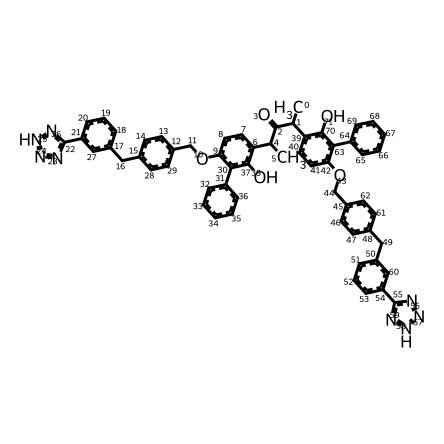 CC(C(=O)C(C)c1ccc(OCc2ccc(Cc3cccc(-c4nn[nH]n4)c3)cc2)c(-c2ccccc2)c1O)c1ccc(OCc2ccc(Cc3cccc(-c4nn[nH]n4)c3)cc2)c(-c2ccccc2)c1O